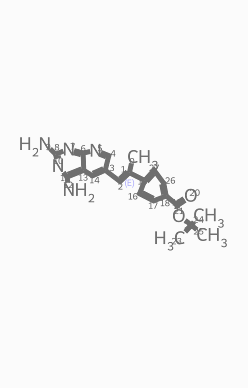 C/C(=C\c1cnc2nc(N)nc(N)c2c1)c1ccc(C(=O)OC(C)(C)C)cc1